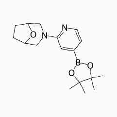 CC1(C)OB(c2ccnc(N3CC4CCC(C3)O4)c2)OC1(C)C